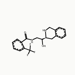 O=C(NCC(O)[C@@H]1Cc2ccccc2CN1)c1ccccc1C(F)(F)F